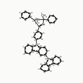 CC1(c2ccccc2)N=C(c2ccc(-n3c4ccccc4c4cc(-n5c6ccccc6c6ccccc65)ccc43)cc2)N2C(c3ccccc3)N21